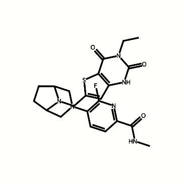 CCn1c(=O)[nH]c2cc(CN3C4CCC3CN(c3ccc(C(=O)NC)nc3F)C4)sc2c1=O